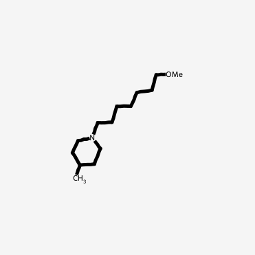 COCCCCCCCN1CCC(C)CC1